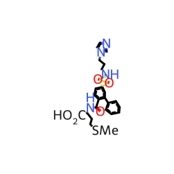 CSCCC(NC(=O)c1ccc(S(=O)(=O)NCCCn2ccnc2)cc1-c1ccccc1)C(=O)O